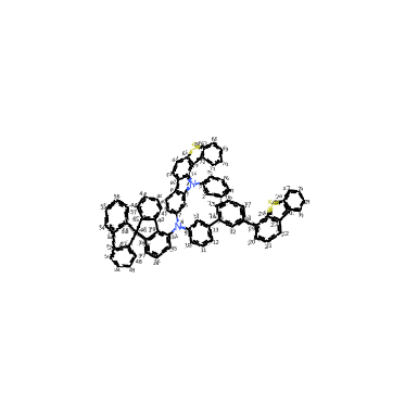 c1ccc(-n2c3cc(N(c4cccc(-c5cccc(-c6cccc7c6sc6ccccc67)c5)c4)c4cccc5c4-c4ccccc4C54c5ccccc5-c5ccccc54)ccc3c3ccc4sc5ccccc5c4c32)cc1